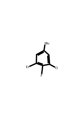 CCc1cc(C(C)(C)C)cc(Cl)c1F